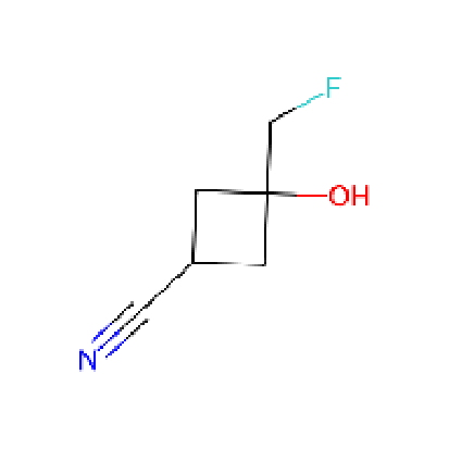 N#CC1CC(O)(CF)C1